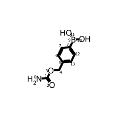 NC(=O)OCc1ccc(B(O)O)cc1